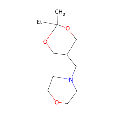 CCC1(C)OCC(CN2CCOCC2)CO1